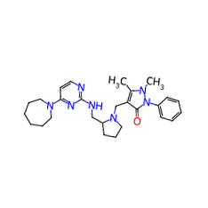 Cc1c(CN2CCCC2CNc2nccc(N3CCCCCC3)n2)c(=O)n(-c2ccccc2)n1C